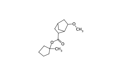 COC1CC2CC(C(=O)OC3(C)CCCC3)C1C2